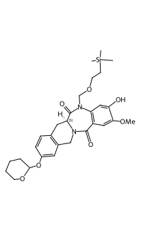 COc1cc2c(cc1O)N(COCC[Si](C)(C)C)C(=O)[C@@H]1Cc3ccc(OC4CCCCO4)cc3CN1C2=O